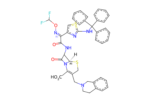 O=C(O)C1=C(CN2CCc3ccccc3C2)CS[C@@H]2C(NC(=O)/C(=N/OC(F)F)c3csc(NC(c4ccccc4)(c4ccccc4)c4ccccc4)n3)C(=O)N12